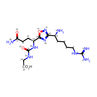 N=C(N)NCCCC[C@H](N)c1noc([C@H](CCC(N)=O)NC(=O)NCC(=O)O)n1